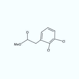 COC([O])Cc1cccc(Cl)c1Cl